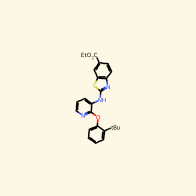 CCOC(=O)c1ccc2nc(Nc3cccnc3Oc3ccccc3C(C)(C)C)sc2c1